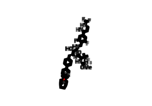 COC(=O)NC(C(=O)N[C@@H](Cc1ccc(-c2ccc(C3CC4CCC(C3)N4C3COC3)nc2)cc1)[C@@H](O)CNCc1c(F)cc(C(=N)/C=C\NC(F)F)cc1F)C(C)(C)C(F)(F)F